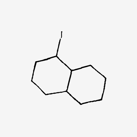 IC1CCCC2CCCCC12